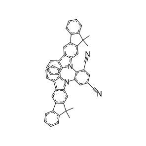 CC1(C)c2ccccc2-c2cc3c4ccccc4n(-c4cc(C#N)cc(C#N)c4-n4c5ccccc5c5cc6c(cc54)C(C)(C)c4ccccc4-6)c3cc21